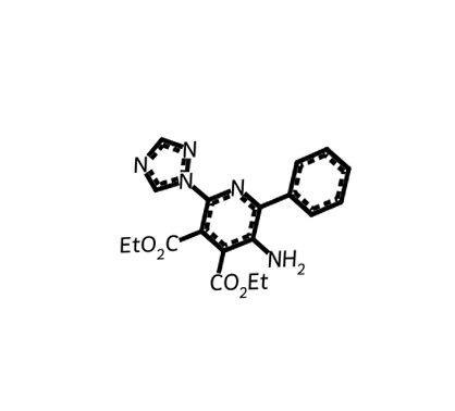 CCOC(=O)c1c(-n2cncn2)nc(-c2ccccc2)c(N)c1C(=O)OCC